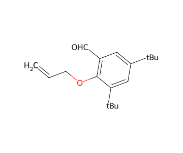 C=CCOc1c(C=O)cc(C(C)(C)C)cc1C(C)(C)C